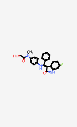 CN(C(=O)CO)c1ccc(N/C(=C2\C(=O)Nc3cc(F)ccc32)c2ccccc2)cc1